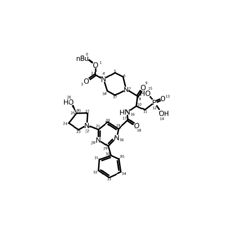 CCCCOC(=O)N1CCN(C(=O)C(CP(=O)(O)O)NC(=O)c2cc(N3CC[C@@H](O)C3)nc(-c3ccccc3)n2)CC1